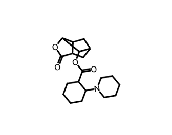 O=C1OC2C3CC(CC13)C2OC(=O)C1CCCCC1N1CCCCC1